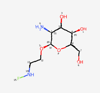 N[C@H]1C(O)[C@@H](O)C(CO)O[C@H]1OCCNF